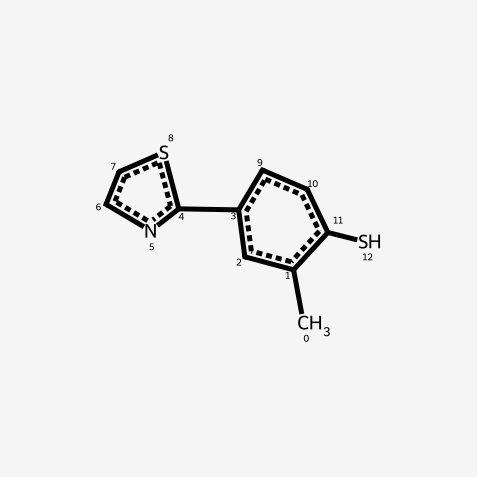 Cc1cc(-c2nccs2)ccc1S